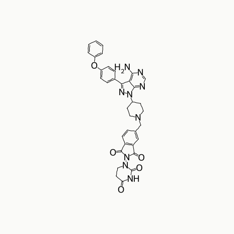 Nc1ncnc2c1c(-c1ccc(Oc3ccccc3)cc1)nn2C1CCN(Cc2ccc3c(c2)C(=O)N(N2CCC(=O)NC2=O)C3=O)CC1